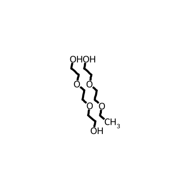 CCOCCOCCO.OCCOCCOCCO